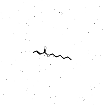 CC=CC(=O)OCCCCCC